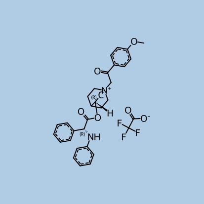 COc1ccc(C(=O)C[N+]23CCC(CC2)[C@@H](OC(=O)[C@H](Nc2ccccc2)c2ccccc2)C3)cc1.O=C([O-])C(F)(F)F